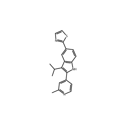 Cc1cc(-c2[nH]c3ccc(-c4nccs4)cc3c2C(C)C)ccn1